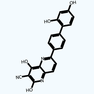 N#Cc1c(O)nc2ccc(-c3ccc(-c4ccc(O)cc4O)cc3)nc2c1O